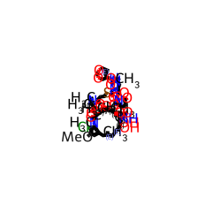 COc1cc2cc(c1Cl)N(C)C(=O)C[C@H](OC(=O)[C@H](C)N(C)C(=O)CCSC(=O)NC(CN(C)C(=O)OC1/C=C/COCOC1)C(=O)ON1C(=O)CCC1=O)[C@]1(C)O[C@H]1[C@H](C)[C@@H]1C[C@@](O)(NC(=O)O1)[C@H](O)/C=C/C=C(\C)C2